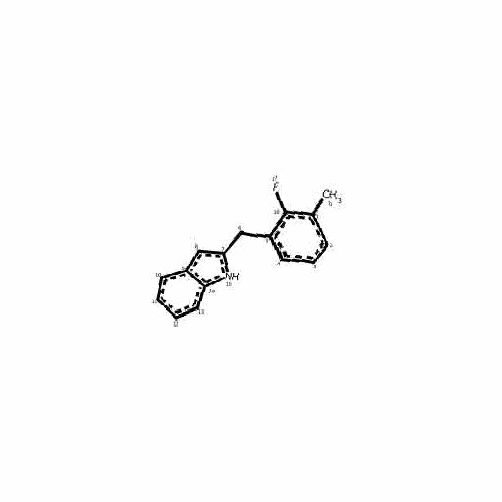 Cc1cccc(Cc2cc3ccccc3[nH]2)c1F